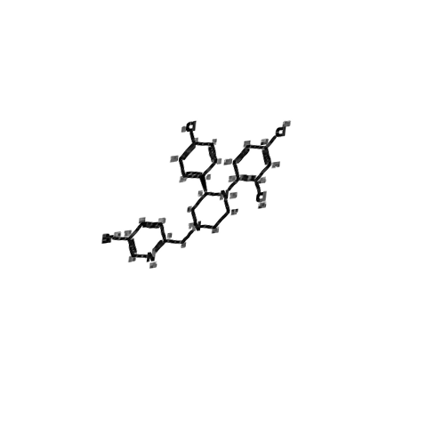 Clc1ccc([C@@H]2CN(Cc3ccc(Br)cn3)CCN2c2ccc(Cl)cc2Cl)cc1